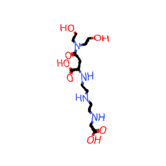 O=C(O)CNCCNCCNC(CC(=O)N(CCO)CCO)C(=O)O